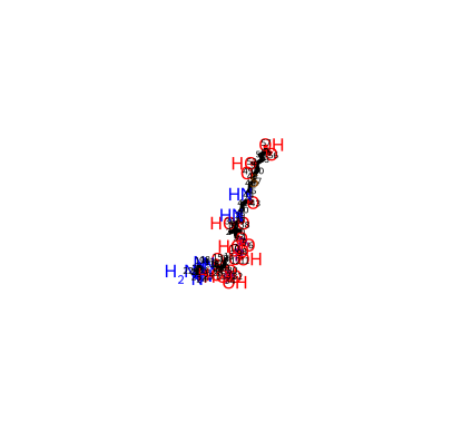 CC(C)(COP(=O)(O)OP(=O)(O)OC[C@H]1O[C@@H](n2cnc3c(N)ncnc32)[C@H](O)[C@@H]1OP(=O)(O)O)[C@@H](O)C(=O)NCCC(=O)NCCSC(=O)CC(O)CCC(=O)O